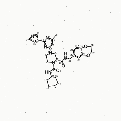 Cc1cc(N2CCN(C(=O)NC3CCCCC3)C(C(=O)NCc3ccc4c(c3)OCCO4)C2)nc(-n2ccnc2)n1